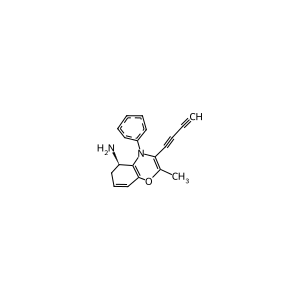 C#CC#CC1=C(C)OC2=C([C@H](N)CC=C2)N1c1ccccc1